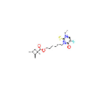 CCn1cc(F)c(=O)n(CCCCCCOC(=O)C2(C)CC(C)C2C)c1=S